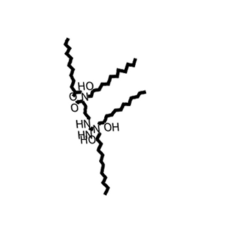 CCCCCCCCCCC(O)CN(CC(O)CCCCCCCCCC)C(=N)NCCCC1C(=O)OC(CCCCCCCCCC)CN1CC(O)CCCCCCCCCC